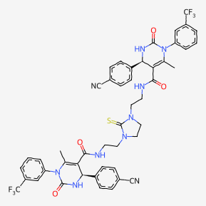 CC1=C(C(=O)NCCN2CCN(CCNC(=O)C3=C(C)N(c4cccc(C(F)(F)F)c4)C(=O)N[C@@H]3c3ccc(C#N)cc3)C2=S)[C@@H](c2ccc(C#N)cc2)NC(=O)N1c1cccc(C(F)(F)F)c1